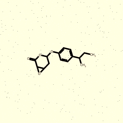 CCC(C)c1ccc(OC2CC3OC3C(=O)O2)cc1